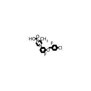 C[C@H]1CN(c2ccc(F)c(OCc3ccc(Cl)cc3F)c2)CCN1C(=O)O